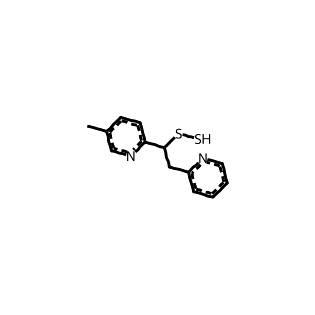 Cc1ccc(C(Cc2ccccn2)SS)nc1